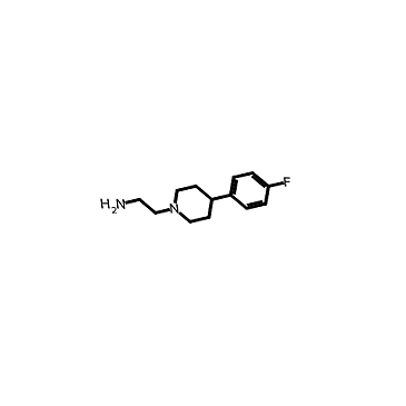 NCCN1CCC(c2ccc(F)cc2)CC1